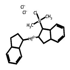 C[Si](C)(Cl)C1[CH]([Hf+2][CH]2CCC3C=CC=CC32)CC2C=CC=CC21.[Cl-].[Cl-]